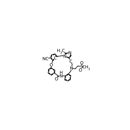 Cc1ncc2n1Cc1ccc(C#N)c(c1)Oc1cccc(c1)C(=O)Nc1ccccc1CN(CCS(C)(=O)=O)CC2